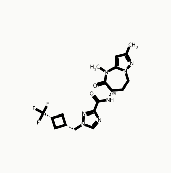 Cc1cc2n(n1)CC[C@H](NC(=O)c1ncn(C[C@H]3C[C@@H](C(F)(F)F)C3)n1)C(=O)N2C